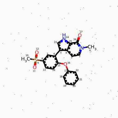 Cn1ccc2c(-c3cc(S(C)(=O)=O)ccc3Oc3ccccc3)c[nH]c2c1=O